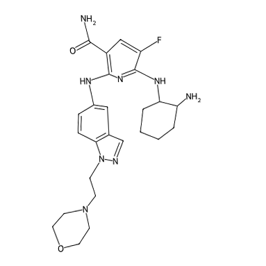 NC(=O)c1cc(F)c(NC2CCCCC2N)nc1Nc1ccc2c(cnn2CCN2CCOCC2)c1